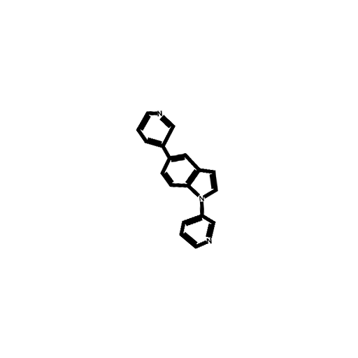 c1cncc(-c2ccc3c(ccn3-c3cccnc3)c2)c1